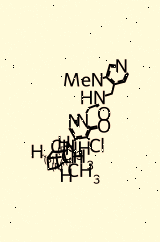 CNc1cnccc1CNC(=O)Cn1ncc(N[C@@H]2C[C@@H]3C[C@H]([C@H]2C)C3(C)C)c(Cl)c1=O